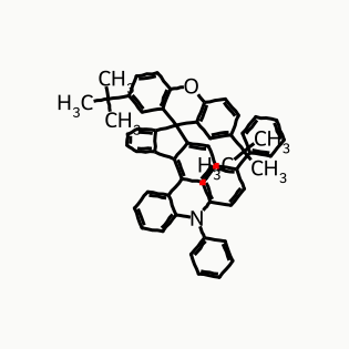 CC(C)(C)c1ccc2c(c1)C1(c3cc(C(C)(C)C)ccc3O2)c2ccccc2-c2c(-c3ccccc3N(c3ccccc3)c3ccc(-c4ccccc4)cc3)cccc21